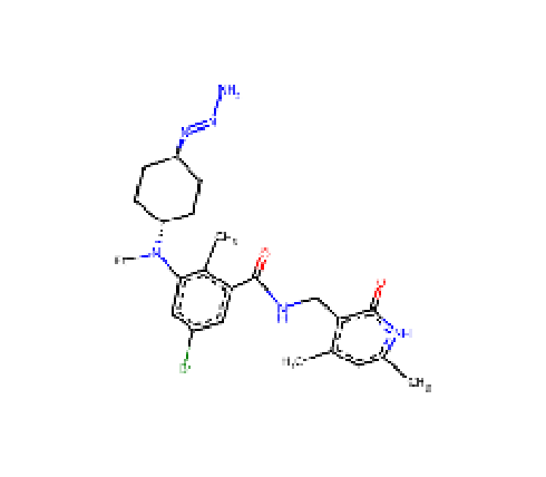 CCN(c1cc(Br)cc(C(=O)NCc2c(C)cc(C)[nH]c2=O)c1C)[C@H]1CC[C@H](N=NN)CC1